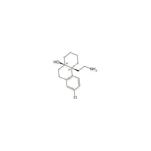 NCC[C@]12CCCC[C@@]1(O)CCc1cc(Cl)ccc12